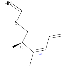 C=C/C=C(/C)[C@@H](C)CSC=N